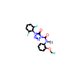 CCN(C(=O)n1nnn(-c2c(F)cccc2F)c1=O)c1ccccc1OCF